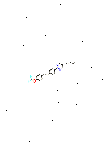 CCCCCc1cnc(-c2ccc(CCc3ccc(OC(F)F)cc3)cc2)nc1